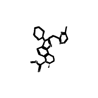 COC(=O)N1c2ccc3c(nc(Cc4nccc(C)n4)n3C3CCCCC3)c2CC[C@@H]1C